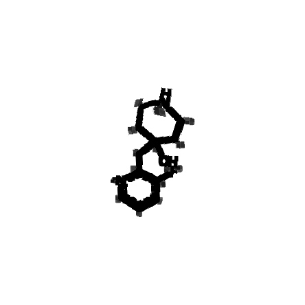 OC1(Cc2ncccc2F)CCNCC1